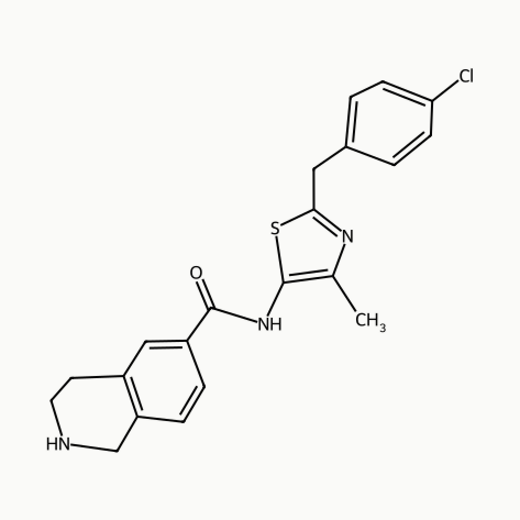 Cc1nc(Cc2ccc(Cl)cc2)sc1NC(=O)c1ccc2c(c1)CCNC2